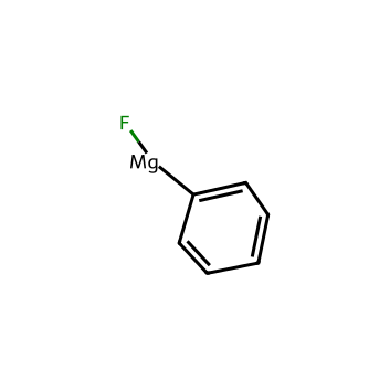 [F][Mg][c]1ccccc1